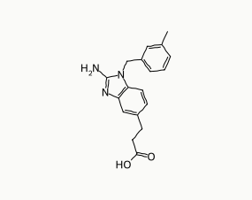 Cc1cccc(Cn2c(N)nc3cc(CCC(=O)O)ccc32)c1